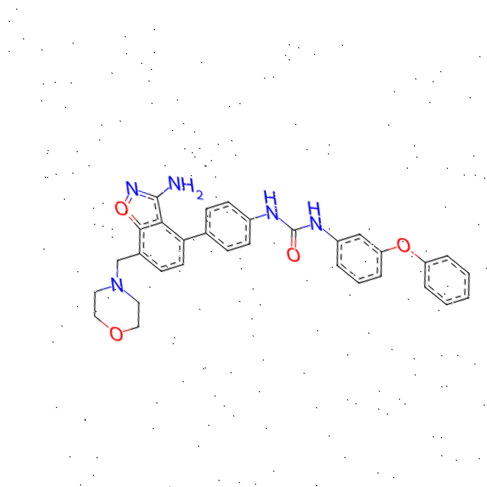 Nc1noc2c(CN3CCOCC3)ccc(-c3ccc(NC(=O)Nc4cccc(Oc5ccccc5)c4)cc3)c12